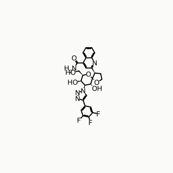 NC(=O)c1cc([C@H]2CCO[C@]23O[C@H](CO)[C@H](O)[C@H](n2cc(-c4cc(F)c(F)c(F)c4)nn2)[C@H]3O)nc2ccccc12